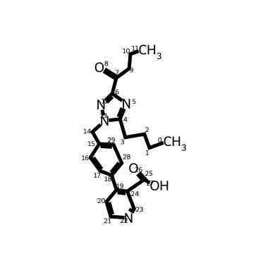 CCCCc1nc(C(=O)CCC)nn1Cc1ccc(-c2ccncc2C(=O)O)cc1